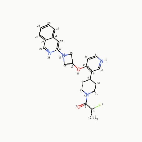 CC(F)C(=O)N1CCC(c2cnccc2OC2CN(c3cc4ccccc4cn3)C2)CC1